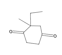 CCC1(C)CC(=O)CCC1=O